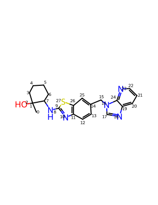 CC1(O)CCCCC1Nc1nc2ccc(Cn3cnc4cccnc43)cc2s1